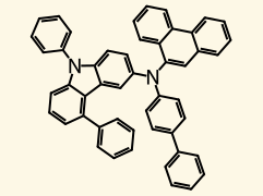 c1ccc(-c2ccc(N(c3ccc4c(c3)c3c(-c5ccccc5)cccc3n4-c3ccccc3)c3cc4ccccc4c4ccccc34)cc2)cc1